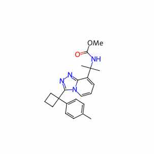 COC(=O)NC(C)(C)c1cccn2c(C3(c4ccc(C)cc4)CCC3)nnc12